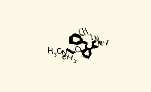 Cc1ccccc1Cc1c(OCCN(C)C)[c]ccc1-c1cn[nH]c1